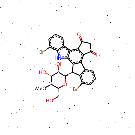 CO[C@H]1[C@H](O)[C@@H](O)C([C@@H]2c3c(Br)cccc3-c3c4c(c5c([nH]c6c(Br)cccc65)c32)C(=O)CC4=O)O[C@@H]1CO